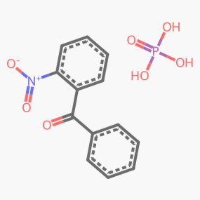 O=C(c1ccccc1)c1ccccc1[N+](=O)[O-].O=P(O)(O)O